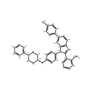 Nc1ncccc1-c1nc2ccc(-c3ccc(Cl)cc3)nc2n1-c1ccc(CN2CCN(c3ncncn3)CC2)cc1